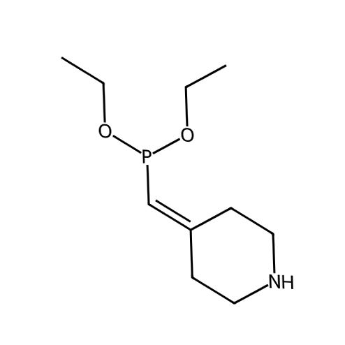 CCOP(C=C1CCNCC1)OCC